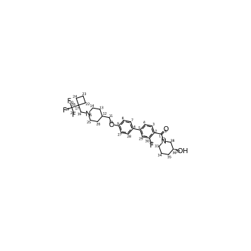 O=C(c1ccc(-c2ccc(OCC3CCN(CC4(C(F)(F)F)CCC4)CC3)cc2)cc1F)N1CCC[C@H](O)C1